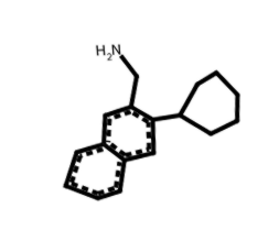 NCc1cc2ccccc2cc1C1CCCCC1